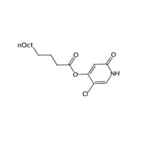 CCCCCCCCCCCC(=O)Oc1cc(=O)[nH]cc1Cl